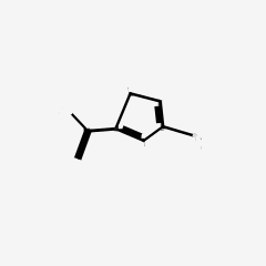 CC(=O)C1=CC(N)=CC1